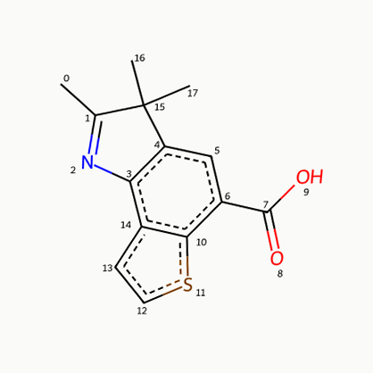 CC1=Nc2c(cc(C(=O)O)c3sccc23)C1(C)C